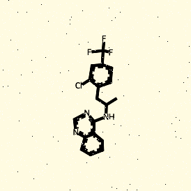 CC(Cc1ccc(C(F)(F)F)cc1Cl)Nc1ncnc2ccccc12